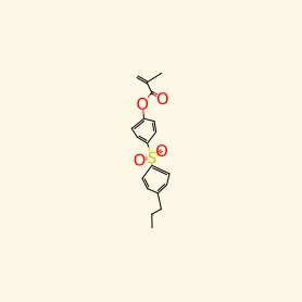 C=C(C)C(=O)Oc1ccc(S(=O)(=O)c2ccc(CCC)cc2)cc1